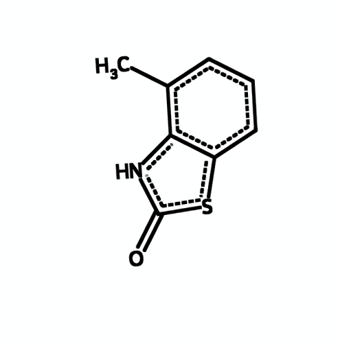 Cc1cccc2sc(=O)[nH]c12